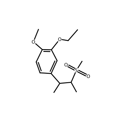 CCOc1cc(C(C)C(C)S(C)(=O)=O)ccc1OC